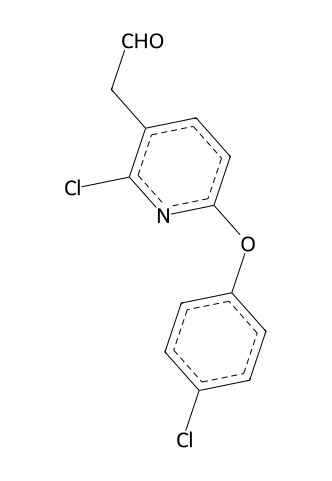 O=CCc1ccc(Oc2ccc(Cl)cc2)nc1Cl